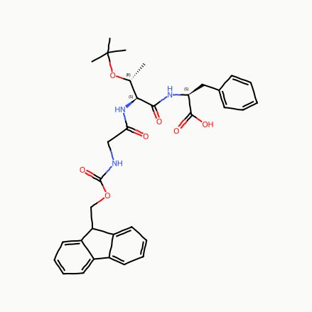 C[C@@H](OC(C)(C)C)[C@H](NC(=O)CNC(=O)OCC1c2ccccc2-c2ccccc21)C(=O)N[C@@H](Cc1ccccc1)C(=O)O